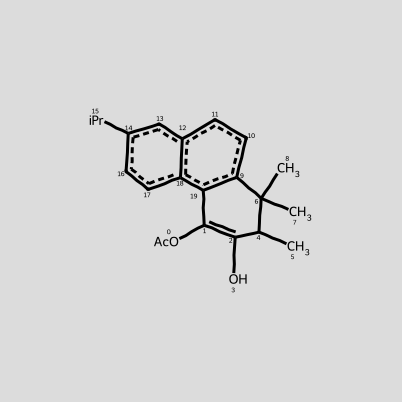 CC(=O)OC1=C(O)C(C)C(C)(C)c2ccc3cc(C(C)C)ccc3c21